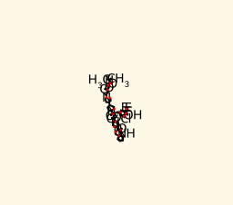 CN(C)C(=O)COC(=O)CCN1CCC(C2CCN(C(=O)[C@@H](Cc3cc(Cl)c(O)c(C(F)(F)F)c3)OC(=O)N3CCC(N4CCc5ccccc5NC4=O)CC3)CC2)CC1